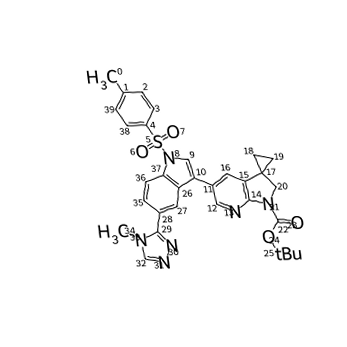 Cc1ccc(S(=O)(=O)n2cc(-c3cnc4c(c3)C3(CC3)CN4C(=O)OC(C)(C)C)c3cc(-c4nncn4C)ccc32)cc1